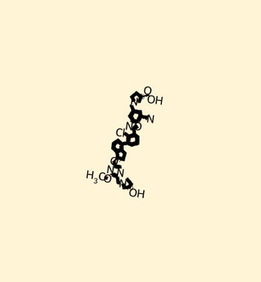 COc1nc(O[C@@H]2CCc3c(-c4cccc(-c5nc6cc(CN7CC[C@@H](C(=O)O)C7)cc(C#N)c6o5)c4Cl)cccc32)cnc1CN1CC[C@@H](O)C1